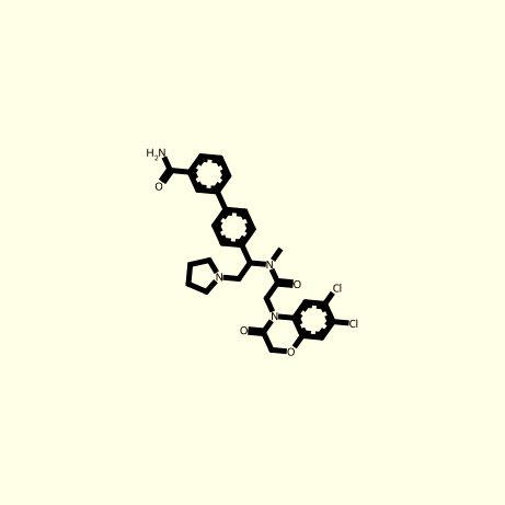 CN(C(=O)CN1C(=O)COc2cc(Cl)c(Cl)cc21)C(CN1CCCC1)c1ccc(-c2cccc(C(N)=O)c2)cc1